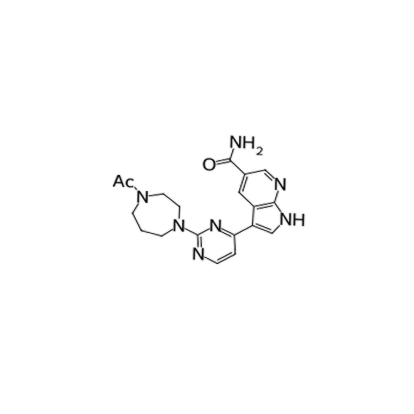 CC(=O)N1CCCN(c2nccc(-c3c[nH]c4ncc(C(N)=O)cc34)n2)CC1